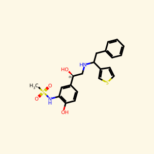 CS(=O)(=O)Nc1cc([C@@H](O)CNC(Cc2ccccc2)c2ccsc2)ccc1O